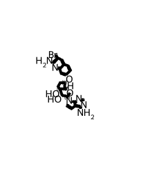 Nc1nc2cc(O[C@H]3CC[C@]4(O)C(O)[C@H](n5ccc6c(N)ncnc65)O[C@H]34)ccc2cc1Br